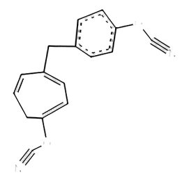 N#COC1=CC=C(Cc2ccc(OC#N)cc2)C=CC1